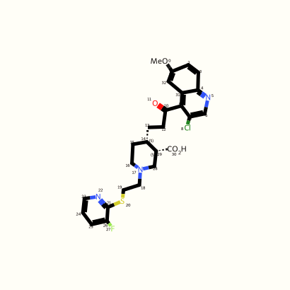 COc1ccc2ncc(Cl)c(C(=O)CC[C@H]3CCN(CCSc4ncccc4F)C[C@H]3C(=O)O)c2c1